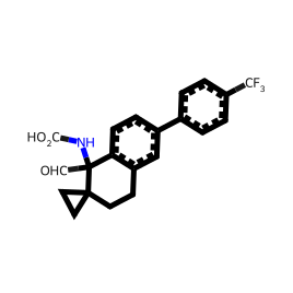 O=CC1(NC(=O)O)c2ccc(-c3ccc(C(F)(F)F)cc3)cc2CCC12CC2